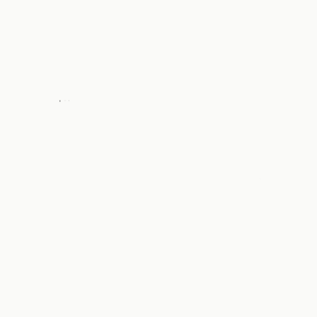 [CH2]CCCCCCCCCCCCCCCCCc1cccc2cc3ccccc3cc12